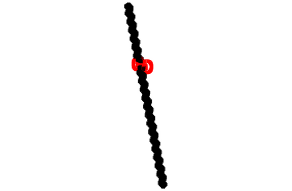 CCCCCCCCCCCCCCCCCCCCCCCCCCCCC(=O)OCCCCCCCCCCCCCC